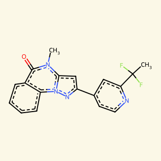 Cn1c(=O)c2ccccc2n2nc(-c3ccnc(C(C)(F)F)c3)cc12